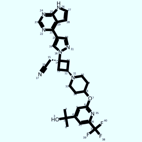 CC(C)(O)c1cc(OC2CCN([C@H]3C[C@@](CC#N)(n4cc(-c5ncnc6[nH]ccc56)cn4)C3)CC2)nc(C(F)(F)F)c1